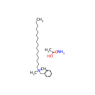 CC(=O)O.CCCCCCCCCCCCCCCC[N+](C)(C)Cc1ccccc1.N